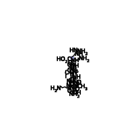 C[C@H](NC(=O)[C@@H](NC(=O)[C@@H](N)CCCCN)[C@@H](O)CN)C(=O)NCC(=O)N[C@H](CCCN)C(=O)N1CCC[C@H]1C(=O)N[C@@H](Cc1ccc(I)cc1)C(=O)N[C@@H](CCCCN)C(=O)N/C(=C\CCNC(=N)N)C(=O)O